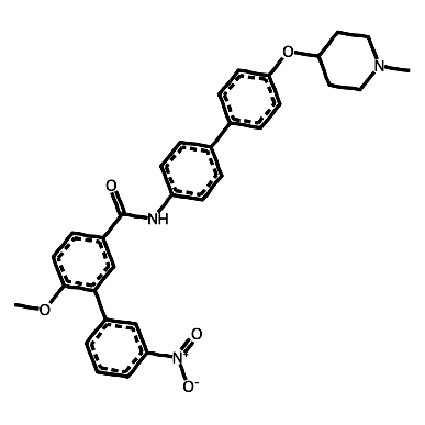 COc1ccc(C(=O)Nc2ccc(-c3ccc(OC4CCN(C)CC4)cc3)cc2)cc1-c1cccc([N+](=O)[O-])c1